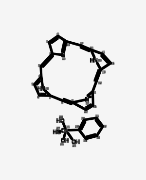 C1=Cc2cc3ccc(cc4nc(cc5ccc(cc1n2)[nH]5)C=C4)[nH]3.[OH][Co]([OH])([OH])([OH])[c]1ccccc1